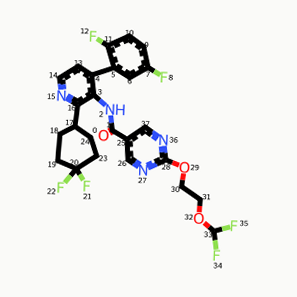 O=C(Nc1c(-c2cc(F)ccc2F)ccnc1C1CCC(F)(F)CC1)c1cnc(OCCOC(F)F)nc1